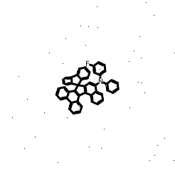 Fc1cccc(N(c2ccccc2)c2cc3c(c4ccccc24)-c2c(c4ccccc4c4ccccc24)C32c3ccccc3-c3ccccc32)c1